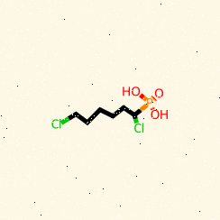 O=P(O)(O)C(Cl)CCCCCCl